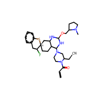 C=CC(=O)N1CCN(C2NC(OCC3CCCN3C)NC3C[C@]4(CCC32)Sc2ccccc2CC4F)CC1CC#N